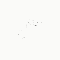 Cc1cn([C@@H]2O[C@H](COP(=O)(O)OP(=O)(O)OP(=O)(O)O)C(O)[C@@H]2O)c(=O)nc1N